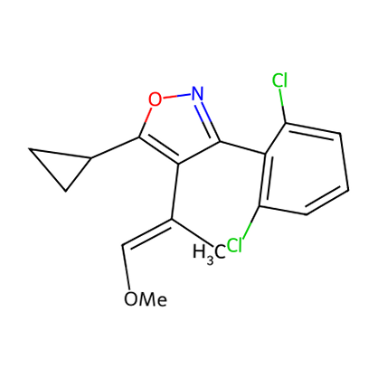 CO/C=C(\C)c1c(-c2c(Cl)cccc2Cl)noc1C1CC1